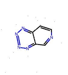 [c]1cncc2nnnnc12